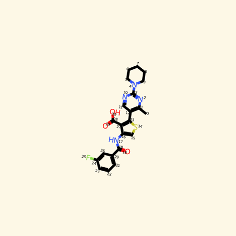 Cc1nc(N2CCCCC2)ncc1-c1scc(NC(=O)c2cccc(F)c2)c1C(=O)O